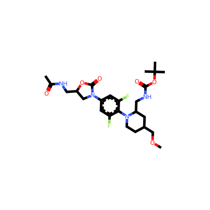 COCC1CCN(c2c(F)cc(N3CC(CNC(C)=O)OC3=O)cc2F)C(CNC(=O)OC(C)(C)C)C1